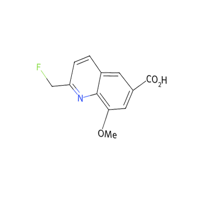 COc1cc(C(=O)O)cc2ccc(CF)nc12